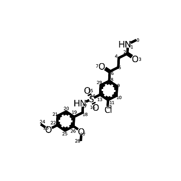 CNC(=O)CCC(=O)c1ccc(Cl)c(S(=O)(=O)NCc2ccc(OC)cc2OC)c1